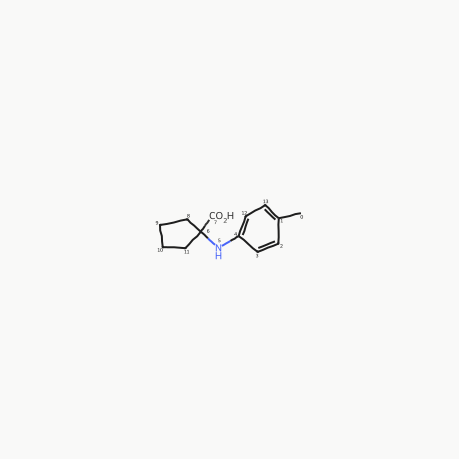 Cc1ccc(NC2(C(=O)O)CCCC2)cc1